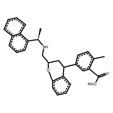 COC(=O)c1cc(C2CC(CN[C@H](C)c3cccc4ccccc34)Oc3ccccc32)ccc1C